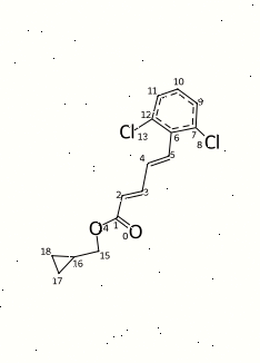 O=C(C=CC=Cc1c(Cl)cccc1Cl)OCC1CC1